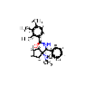 Cc1ccc(C(=O)NC(c2ccccc2)C2(N(C)C)CCCC2)c(C)c1C